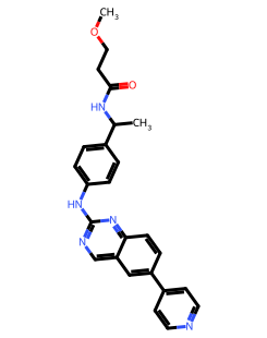 COCCC(=O)NC(C)c1ccc(Nc2ncc3cc(-c4ccncc4)ccc3n2)cc1